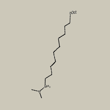 CCCCCCCCCCCCCCCCCC[SiH2]N(C)C